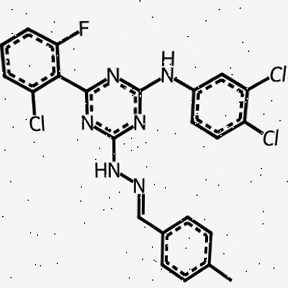 Cc1ccc(C=NNc2nc(Nc3ccc(Cl)c(Cl)c3)nc(-c3c(F)cccc3Cl)n2)cc1